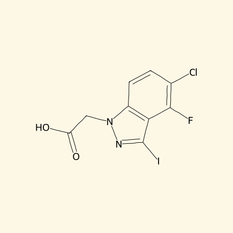 O=C(O)Cn1nc(I)c2c(F)c(Cl)ccc21